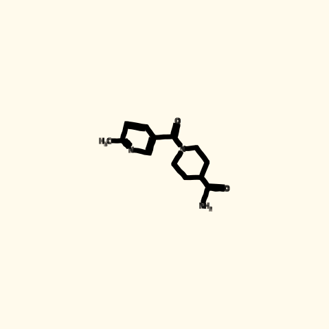 Cc1ccc(C(=O)N2CCC(C(N)=O)CC2)cn1